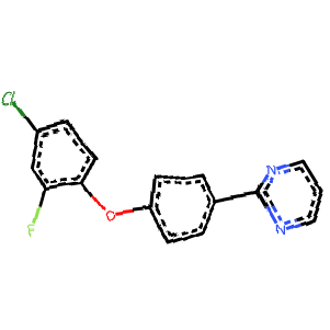 Fc1cc(Cl)ccc1Oc1ccc(-c2ncccn2)cc1